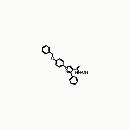 O=C(NO)c1cn(-c2ccc(OCc3ccccc3)cc2)nc1-c1ccccc1